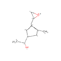 CC(O)C1CC(C)C(C2CO2)C1